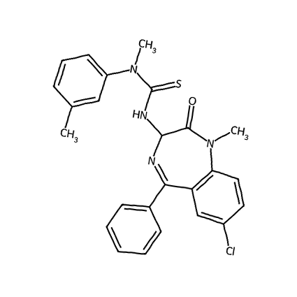 Cc1cccc(N(C)C(=S)NC2N=C(c3ccccc3)c3cc(Cl)ccc3N(C)C2=O)c1